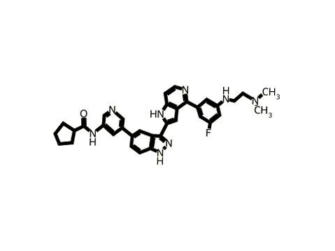 CN(C)CCNc1cc(F)cc(-c2nccc3[nH]c(-c4n[nH]c5ccc(-c6cncc(NC(=O)C7CCCC7)c6)cc45)cc23)c1